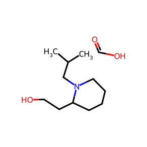 CC(C)CN1CCCCC1CCO.O=CO